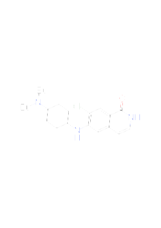 CCN(CC)C1CCC(Nc2cc3cc[nH]c(=O)c3cc2Cl)CC1